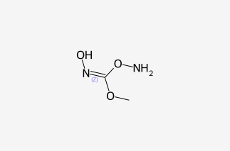 CO/C(=N/O)ON